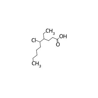 CCCCCC(Cl)C(CC)CCC(=O)O